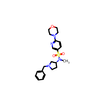 CN([C@H]1CCN(Cc2ccccc2)C1)S(=O)(=O)c1ccc(N2CCOCC2)nc1